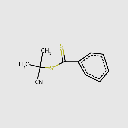 CC(C)(C#N)SC(=S)c1ccccc1